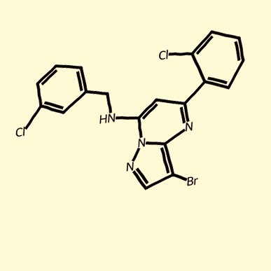 Clc1cccc(CNc2cc(-c3ccccc3Cl)nc3c(Br)cnn23)c1